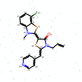 C=CCn1c(=O)/c(=C2\Sc3c(F)cccc3N2C)s/c1=C\c1ccncc1